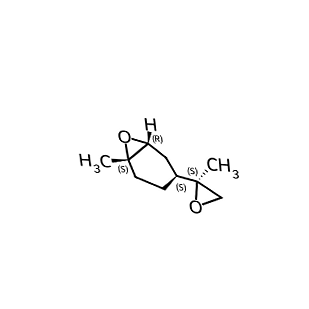 C[C@]1([C@H]2CC[C@]3(C)O[C@@H]3C2)CO1